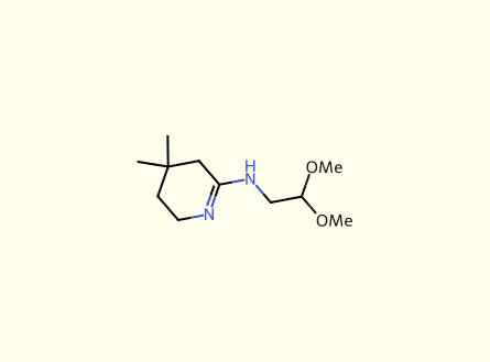 COC(CNC1=NCCC(C)(C)C1)OC